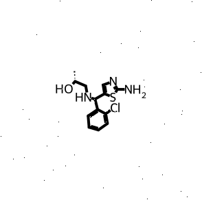 C[C@@H](O)CNC(c1cnc(N)s1)c1ccccc1Cl